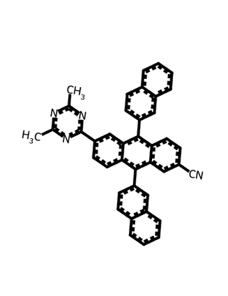 Cc1nc(C)nc(-c2ccc3c(-c4ccc5ccccc5c4)c4cc(C#N)ccc4c(-c4ccc5ccccc5c4)c3c2)n1